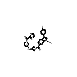 Cn1cc(-c2ccc(F)cc2)c2ccc(C(=O)N3CC(N[C@H]4CCN(C(=O)c5nccs5)C4)C3)cc21